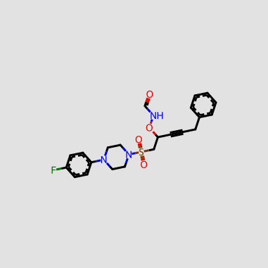 O=CNOC(C#CCc1ccccc1)CS(=O)(=O)N1CCN(c2ccc(F)cc2)CC1